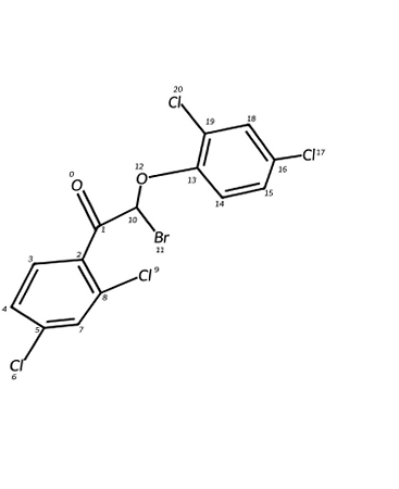 O=C(c1ccc(Cl)cc1Cl)C(Br)Oc1ccc(Cl)cc1Cl